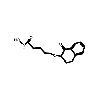 O=C(CCCCCC1CCc2ccccc2C1=O)NO